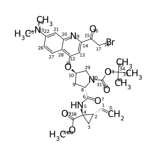 C=C[C@@H]1C[C@]1(NC(=O)[C@@H]1C[C@@H](Oc2cc(C(=O)CBr)nc3cc(N(C)C)ccc23)CN1C(=O)OC(C)(C)C)C(=O)OC